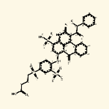 O=C(O)CCCS(=O)(=O)c1ccc(Nc2cc(S(=O)(=O)O)c3[nH]c(=O)c(C(=O)C(O)c4ccccc4)c4c3c2C(=O)c2ccccc2-4)c(S(=O)(=O)O)c1